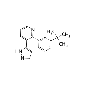 CC(C)(C)c1cccc(-c2ncccc2-c2ccn[nH]2)c1